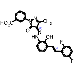 CC1=NN(c2cccc(C(=O)O)c2)C(=O)/C1=N\Nc1cccc(/C=C/c2cc(F)ccc2F)c1O